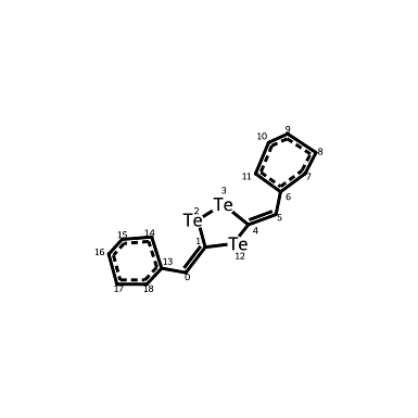 C(=C1[Te][Te]C(=Cc2ccccc2)[Te]1)c1ccccc1